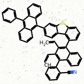 C=Cc1c(/C=C\C)c(-c2ccccc2C#N)c2ccccc2c1-c1cccc2sc3cc(-c4c5ccccc5c(-c5ccccc5)c5ccccc45)ccc3c12